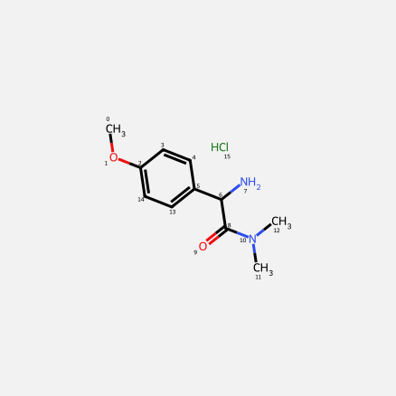 COc1ccc(C(N)C(=O)N(C)C)cc1.Cl